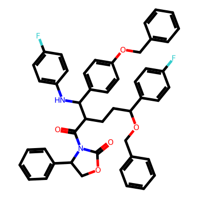 O=C1OCC(c2ccccc2)N1C(=O)C(CCC(OCc1ccccc1)c1ccc(F)cc1)C(Nc1ccc(F)cc1)c1ccc(OCc2ccccc2)cc1